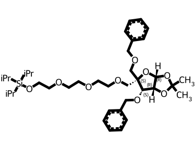 CC(C)[Si](OCCOCCOCCOC[C@]1(COCc2ccccc2)O[C@@H]2OC(C)(C)O[C@@H]2[C@@H]1OCc1ccccc1)(C(C)C)C(C)C